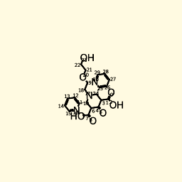 O=C(O)C1C(=O)C(C(=O)O)[C@H](c2ccccn2)N(CCOCCO)[C@@H]1c1ccccn1